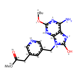 CCCCOc1nc(N)c2nc(O)n(Cc3cncc(CC(=O)OC)c3)c2n1